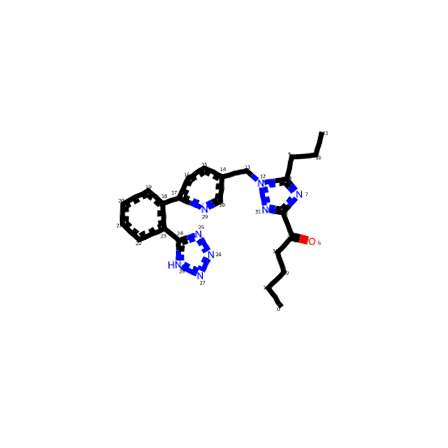 CCCCC(=O)c1nc(CCC)n(Cc2ccc(-c3ccccc3-c3nnn[nH]3)nc2)n1